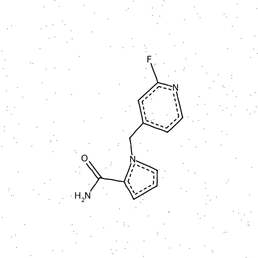 NC(=O)c1cccn1Cc1ccnc(F)c1